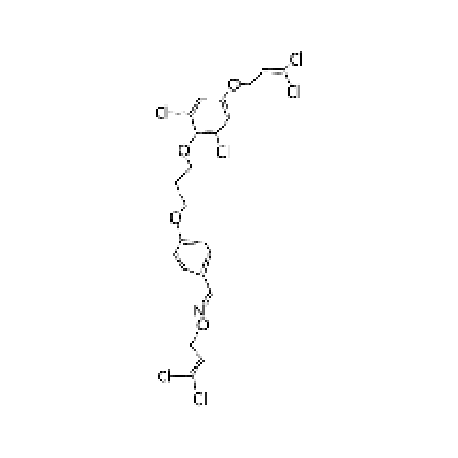 ClC(Cl)=CCO/N=C/c1ccc(OCCCOc2c(Cl)cc(OCC=C(Cl)Cl)cc2Cl)cc1